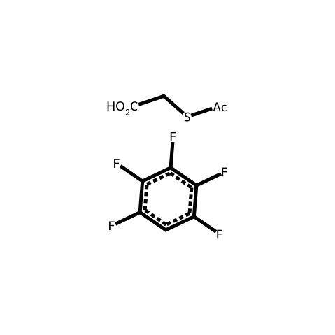 CC(=O)SCC(=O)O.Fc1cc(F)c(F)c(F)c1F